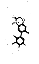 Cc1c(-c2cc3c(cc2F)OCC(=O)N3)cc(F)c(F)c1I